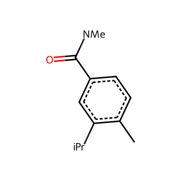 CNC(=O)c1ccc(C)c(C(C)C)c1